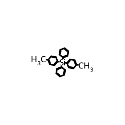 Cc1ccc([Si](c2ccccc2)(c2ccccc2)c2ccc(C)cc2)cc1